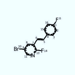 Fc1ccc(/C=C/c2cc(Br)cnc2F)cc1